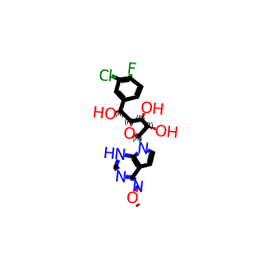 CON=c1nc[nH]c2c1ccn2[C@@H]1O[C@H]([C@H](O)c2ccc(F)c(Cl)c2)[C@@H](O)[C@H]1O